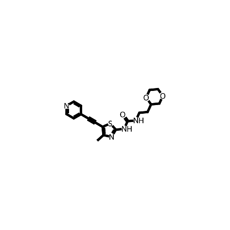 Cc1nc(NC(=O)NCCC2COCCO2)sc1C#Cc1ccncc1